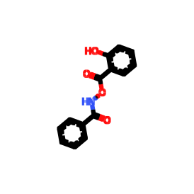 O=C(NOC(=O)c1ccccc1O)c1ccccc1